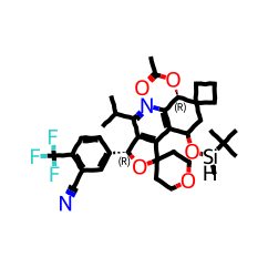 CC(=O)O[C@H]1c2nc(C(C)C)c3c(c2C(O[SiH](C)C(C)(C)C)CC12CCC2)C1(CCOCC1)O[C@@H]3c1ccc(C(F)(F)F)c(C#N)c1